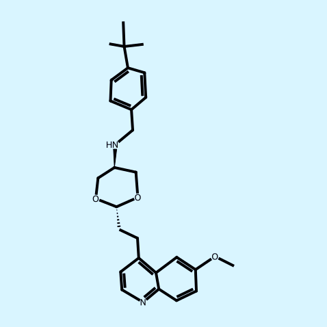 COc1ccc2nccc(CC[C@H]3OC[C@H](NCc4ccc(C(C)(C)C)cc4)CO3)c2c1